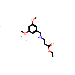 CCOC(=O)CCNCc1cc(OC)cc(OC)c1